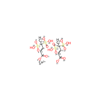 CC(C=CC(=O)[O-])(S(=O)(=O)O)S(=O)(=O)O.CC(C=CC(=O)[O-])(S(=O)(=O)O)S(=O)(=O)O.[Ca+2]